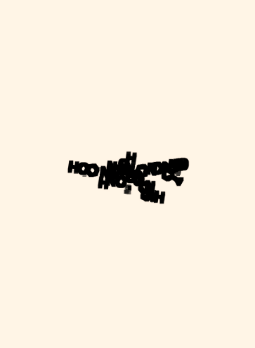 C[C@@]1(c2ccccc2C2CC2)COCCN1C1CC2(CCN(c3ccc(C(=O)NS(=O)(=O)c4cnc(NC[C@H]5CC[C@](C)(O)CC5)c([N+](=O)[O-])c4)c(Oc4cnc5[nH]ccc5c4)c3)CC2)C1